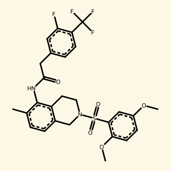 COc1ccc(OC)c(S(=O)(=O)N2CCc3c(ccc(C)c3NC(=O)Cc3ccc(C(F)(F)F)c(F)c3)C2)c1